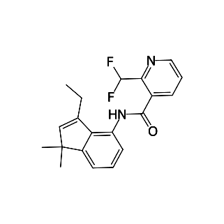 CCC1=CC(C)(C)c2cccc(NC(=O)c3cccnc3C(F)F)c21